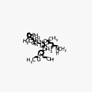 C#CC[C@@H]1C[C@@H](Oc2cc(O[C@@H](C)[C@@H](C)C[C@@H](F)CNC)nc(-c3noc(C(C)(C)c4c(P)cccc4Cl)n3)n2)CCN1C(=O)C=C